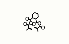 C=C(C)C(=O)OC(=O)C1CCCCC1C(=O)OC(=O)C(=C)C